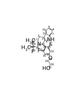 C[C@@H]1Cc2c([nH]c3ccccc23)[C@@H](c2c(F)cc(OCCO)cc2F)N1CC(C)(F)F